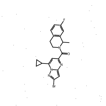 CC1c2cc(F)ccc2CCN1C(=O)c1cc(C2CC2)n2nc(Br)cc2n1